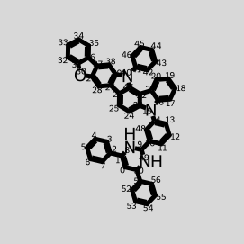 C1=C(c2ccccc2)NC(c2cccc(-n3c4ccccc4c4c3ccc3c5cc6oc7ccccc7c6cc5n(-c5ccccc5)c34)c2)NC1c1ccccc1